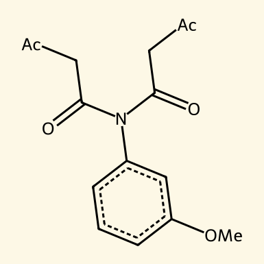 COc1cccc(N(C(=O)CC(C)=O)C(=O)CC(C)=O)c1